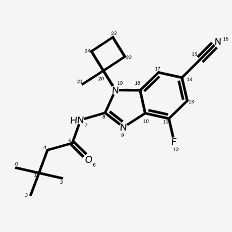 CC(C)(C)CC(=O)Nc1nc2c(F)cc(C#N)cc2n1C1(C)CCC1